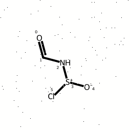 O=CN[S+]([O-])Cl